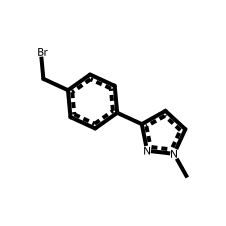 Cn1ccc(-c2ccc(CBr)cc2)n1